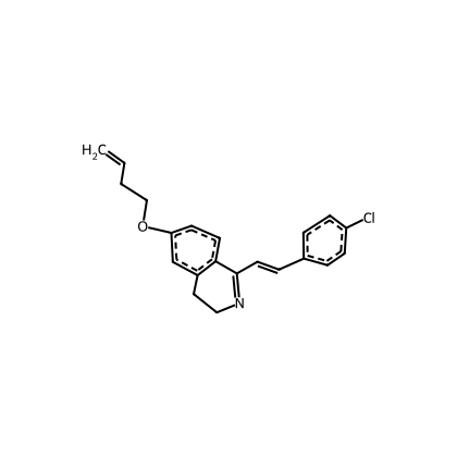 C=CCCOc1ccc2c(c1)CCN=C2C=Cc1ccc(Cl)cc1